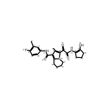 Cc1cc(NC(=O)c2c(C)c(C(=O)C(=O)NC3=C(O)CCC3)n3c2CCCC3)ccc1F